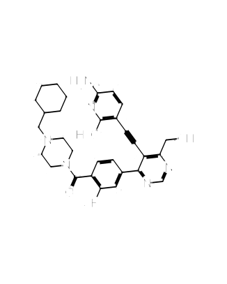 CCc1ncnc(-c2ccc(C(=O)N3CCN(CC4CCCCC4)CC3)c(F)c2)c1C#Cc1ccc(N)nc1C